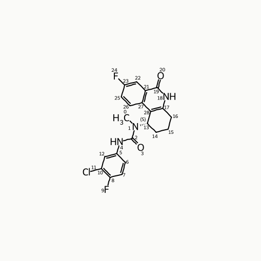 CN(C(=O)Nc1ccc(F)c(Cl)c1)[C@H]1CCCc2[nH]c(=O)c3cc(F)ccc3c21